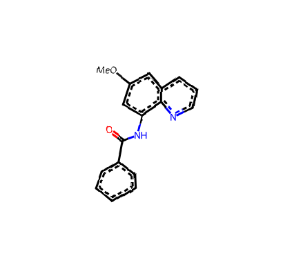 COc1cc(NC(=O)c2ccccc2)c2ncccc2c1